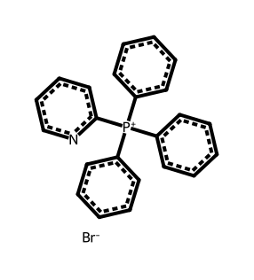 [Br-].c1ccc([P+](c2ccccc2)(c2ccccc2)c2ccccn2)cc1